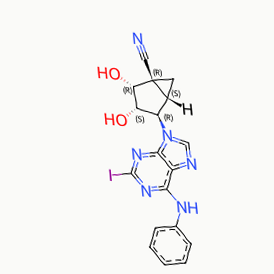 N#C[C@@]12C[C@@H]1[C@@H](n1cnc3c(Nc4ccccc4)nc(I)nc31)[C@H](O)[C@@H]2O